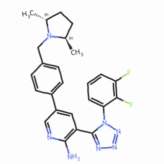 C[C@@H]1CC[C@@H](C)N1Cc1ccc(-c2cnc(N)c(-c3nnnn3-c3cccc(F)c3F)c2)cc1